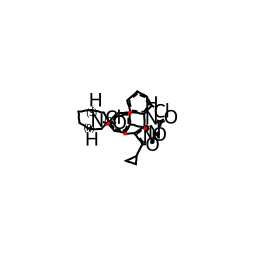 O=c1[nH]c(-c2ccc(N3[C@@H]4CC[C@H]3C[C@@H](OCc3c(-c5c(Cl)cccc5Cl)noc3C3CC3)C4)cc2)no1